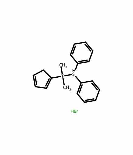 Br.[CH3][Ti]([CH3])([C]1=CC=CC1)[SiH](c1ccccc1)c1ccccc1